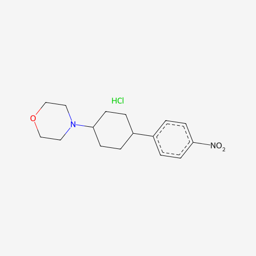 Cl.O=[N+]([O-])c1ccc(C2CCC(N3CCOCC3)CC2)cc1